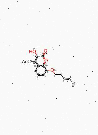 CCC=CCCOc1cccc2c(OC(C)=O)c(O)c(=O)oc12